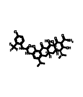 CN(C)c1cc(NC(=O)Nc2ccc(Cl)cc2C(F)(F)F)c(O)c2c1C[C@H]1C[C@H]3[C@H](N(C)C)C(O)=C(C(N)=O)C(=O)[C@@]3(O)C(O)=C1C2=O